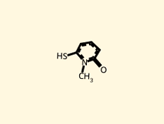 Cn1c(S)cccc1=O